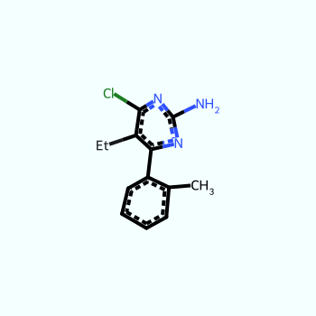 CCc1c(Cl)nc(N)nc1-c1ccccc1C